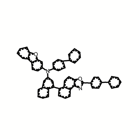 c1ccc(-c2ccc(-c3nc4c(ccc5c(-c6cc(N(c7ccc(-c8ccccc8)cc7)c7ccc8c(c7)oc7ccccc78)cc7ccccc67)cccc54)o3)cc2)cc1